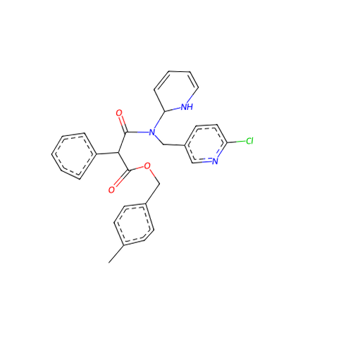 Cc1ccc(COC(=O)C(C(=O)N(Cc2ccc(Cl)nc2)C2C=CC=CN2)c2ccccc2)cc1